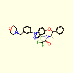 C[C@H](NC(=O)C(F)(F)F)[C@@H](Oc1ccc2c(cnn2-c2cccc(CN3CCOCC3)c2)c1)c1ccccc1